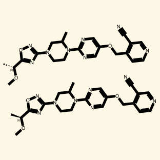 CO[C@@H](C)c1nc(N2CCN(c3ncc(OCc4ccncc4C#N)cn3)C(C)C2)no1.CO[C@H](C)c1nc(N2CCN(c3ncc(OCc4ccncc4C#N)cn3)C(C)C2)no1